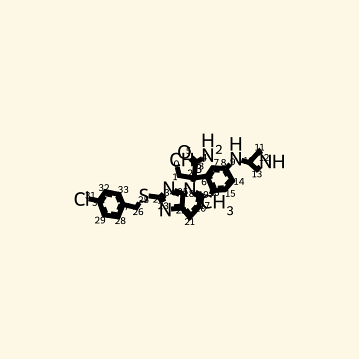 CCC(C(N)=O)(c1cc(NC2CNC2)ccc1C)n1cccc2nc(SCc3ccc(Cl)cc3)nc1-2